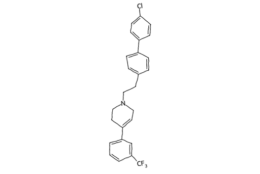 FC(F)(F)c1cccc(C2=CCN(CCc3ccc(-c4ccc(Cl)cc4)cc3)CC2)c1